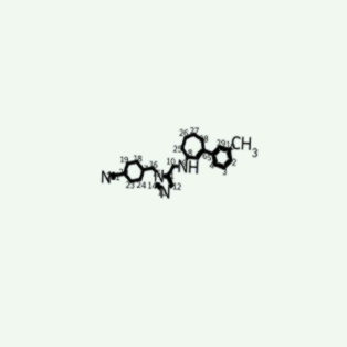 Cc1cccc(C2=CC(NCc3cncn3CC3CCC(C#N)CC3)CCCC2)c1